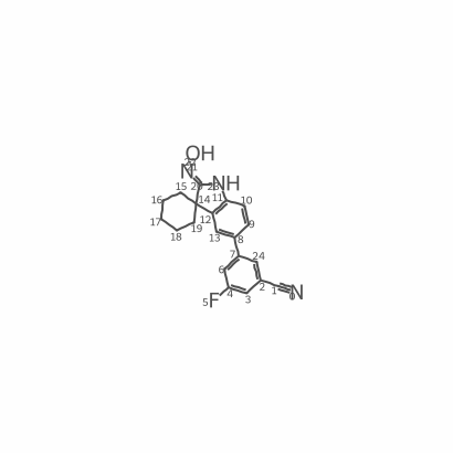 N#Cc1cc(F)cc(-c2ccc3c(c2)C2(CCCCC2)/C(=N/O)N3)c1